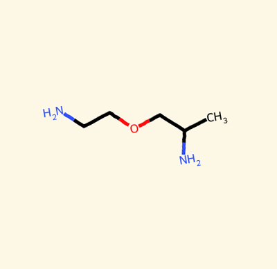 CC(N)COCCN